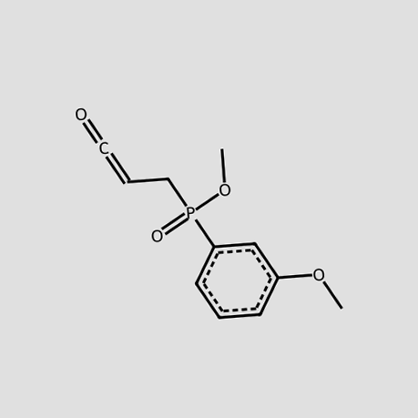 COc1cccc(P(=O)(CC=C=O)OC)c1